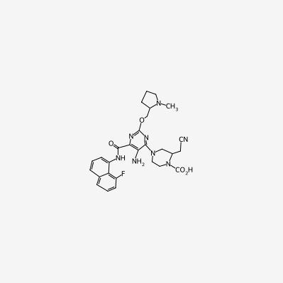 CN1CCCC1COc1nc(C(=O)Nc2cccc3cccc(F)c23)c(N)c(N2CCN(C(=O)O)C(CC#N)C2)n1